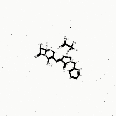 N[C@@H]1C(=O)N2C(C(=O)O)=C(/C=C3\CCN(Cc4ccccn4)C3=O)CS[C@H]12.O=C(O)C(F)(F)F